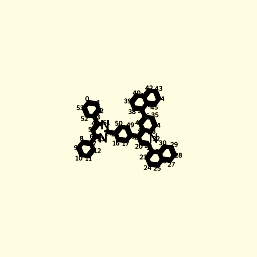 c1ccc(-c2cc(-c3ccccc3)nc(-c3ccc(-c4cc(-c5cccc6ccccc56)nc5ccc(-c6cccc7ccccc67)cc45)cc3)n2)cc1